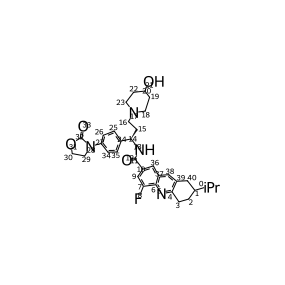 CC(C)C1CCc2nc3c(F)cc(C(=O)N[C@H](CCN4CCC(O)CC4)c4ccc(N5CCOC5=O)cc4)cc3cc2C1